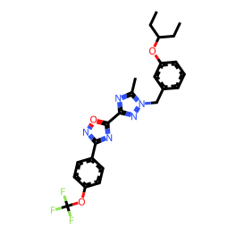 CCC(CC)Oc1cccc(Cn2nc(-c3nc(-c4ccc(OC(F)(F)F)cc4)no3)nc2C)c1